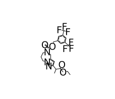 CCOC(=O)C(C)c1cc2n(n1)CCCN(C(=O)OCc1cc(C(F)(F)F)cc(C(F)(F)F)c1)C2